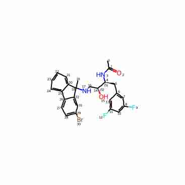 CC(=O)N[C@@H](Cc1cc(F)cc(F)c1)[C@@H](O)CNC1(C)c2ccccc2-c2ccc(Br)cc21